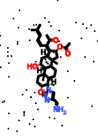 CC(=O)O[C@H]1C[C@@]2(C)[C@@H](C[C@@H](O)[C@H]3[C@@]4(C)CC[C@@H](O)[C@](C)(n5cc(CN)nn5)[C@@H]4CC[C@@]32C)/C1=C(\C=C/C=C(C)C)C(C)=O